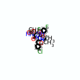 CC(C)N1CC2(S(=O)(=O)c3ccc(F)cc3F)NCC(NS(C)(=O)=O)C(=O)N2C(Cc2ccc(Cl)cc2)C1=O